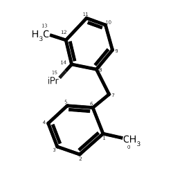 Cc1ccccc1Cc1cccc(C)c1C(C)C